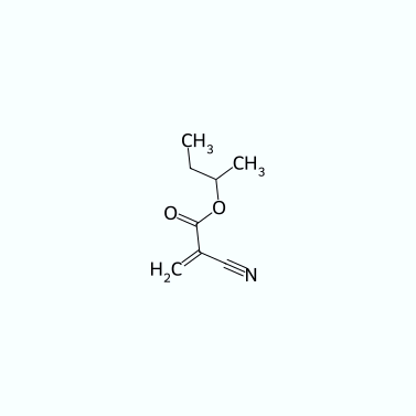 C=C(C#N)C(=O)OC(C)CC